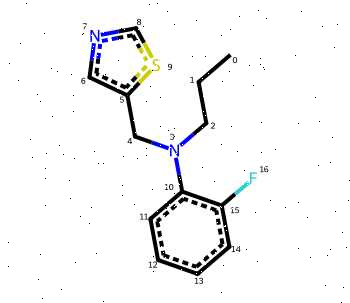 CCCN(Cc1cncs1)c1ccccc1F